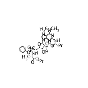 CC(C)OC(=O)[C@H](C)N[P@](=O)(OC[C@H]1O[C@@H](n2cnc3c(N(C)C)nc(NC(=O)C(C)C)nc32)[C@](C)(F)[C@@H]1O)Oc1ccccc1